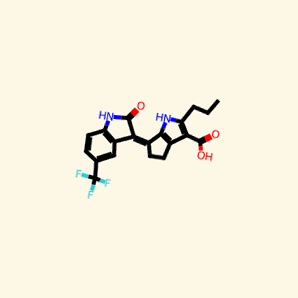 CCCc1[nH]c2c(c1C(=O)O)CC/C2=C1/C(=O)Nc2ccc(C(F)(F)F)cc21